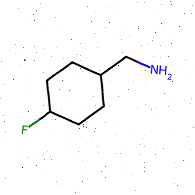 NCC1CCC(F)CC1